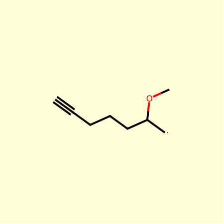 C#CCCCC([CH2])OC